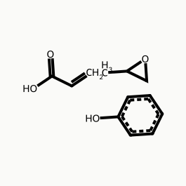 C=CC(=O)O.CC1CO1.Oc1ccccc1